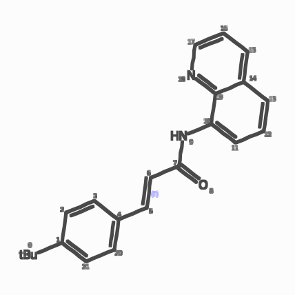 CC(C)(C)c1ccc(/C=C/C(=O)Nc2cccc3cccnc23)cc1